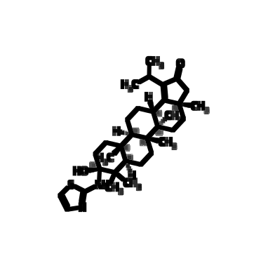 CC(C)C1=C2[C@H]3CC[C@@H]4[C@@]5(C)CC[C@@](O)(Nc6nccs6)C(C)(C)[C@@H]5CC[C@@]4(C)[C@]3(C)CC[C@@]2(C)CC1=O